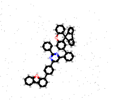 c1ccc(-c2nc(-c3ccc(-c4cccc5c4oc4ccccc45)cc3)cc(-c3ccccc3-c3ccc4c(c3)C3(c5ccccc5O4)c4ccccc4-c4ccccc43)n2)cc1